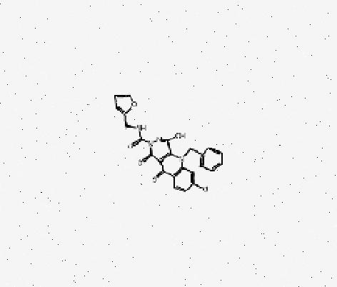 O=C(NCc1ccco1)n1nc(O)c2c(c(=O)c3ccc(Cl)cc3n2Cc2ccccc2)c1=O